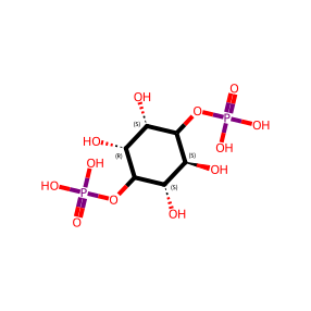 O=P(O)(O)OC1[C@@H](O)[C@H](O)C(OP(=O)(O)O)[C@H](O)[C@@H]1O